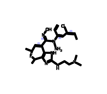 C=C/C(=C\C(Cl)=C/C)N(N)C(=N\O)/C(=C/C(C)F)c1[nH]c(NCCN(C)C)nc1C(C)F